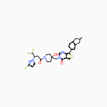 C[C]1Cc2ccc(-c3scc4c(=O)n(CC5(O)CCN(C(=O)CC(C(F)F)n6ccc(F)n6)CC5)cnc34)cc2C1